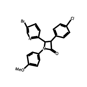 COc1ccc(N2C(=O)C(c3ccc(Cl)cc3)C2c2ccc(Br)cn2)cc1